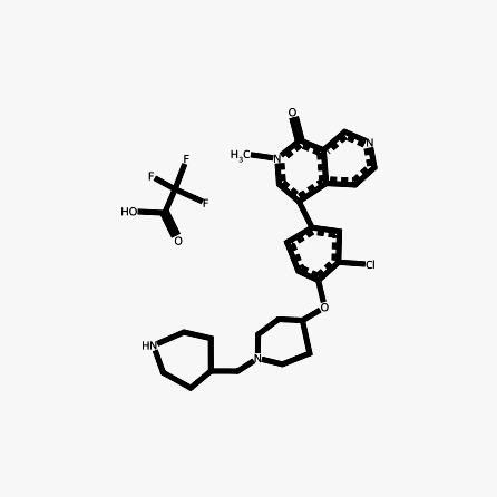 Cn1cc(-c2ccc(OC3CCN(CC4CCNCC4)CC3)c(Cl)c2)c2ccncc2c1=O.O=C(O)C(F)(F)F